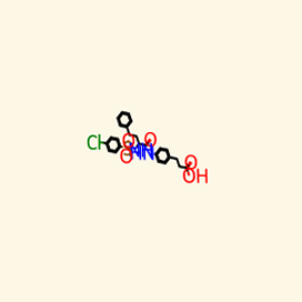 O=C(O)CCc1ccc(NC(=O)C(CCc2ccccc2)NS(=O)(=O)c2ccc(Cl)cc2)cc1